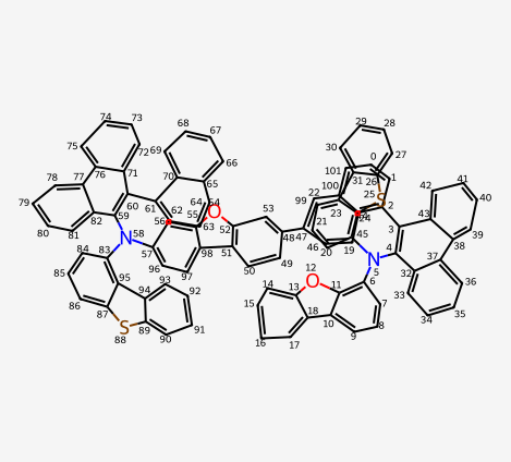 c1cc(-c2c(N(c3cccc4c3oc3ccccc34)c3cccc4c3sc3ccccc34)c3ccccc3c3ccccc23)c2ccc(-c3ccc4c(c3)oc3cc(N(c5c(-c6cccc7ccccc67)c6ccccc6c6ccccc56)c5cccc6sc7ccccc7c56)ccc34)cc2c1